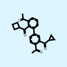 CC(=O)c1ccc(-c2cccc(C(C)=O)c2C(=O)C2CCC2)cc1C(=O)C1CC1